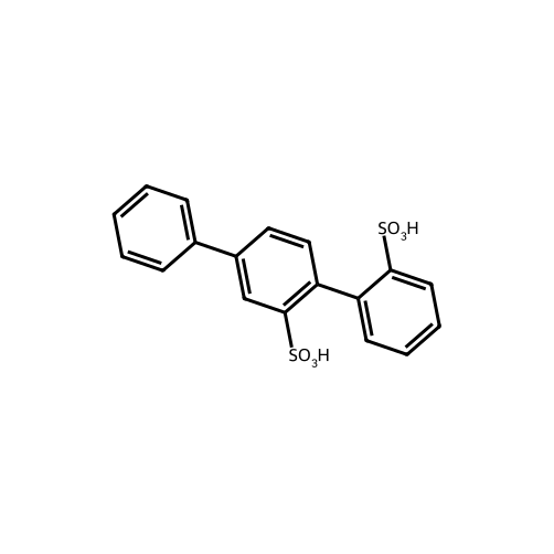 O=S(=O)(O)c1ccccc1-c1ccc(-c2ccccc2)cc1S(=O)(=O)O